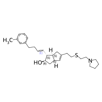 Cc1cccc(CC/C=C/[C@@H]2[C@H]3CC(CCSCCN4CCCC4)=C[C@H]3C[C@H]2O)c1